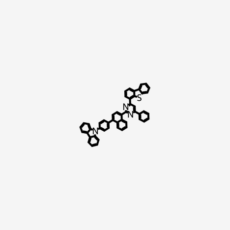 c1ccc(-c2cc(-c3cccc4c3sc3ccccc34)nc(-c3ccc(-c4ccc(-n5c6ccccc6c6ccccc65)cc4)c4ccccc34)n2)cc1